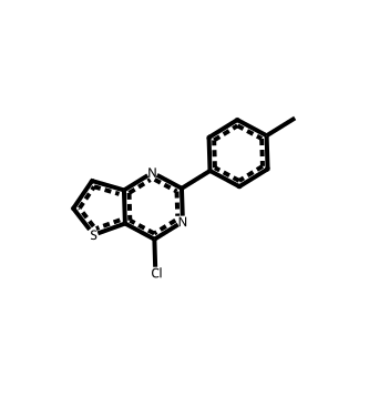 Cc1ccc(-c2nc(Cl)c3sccc3n2)cc1